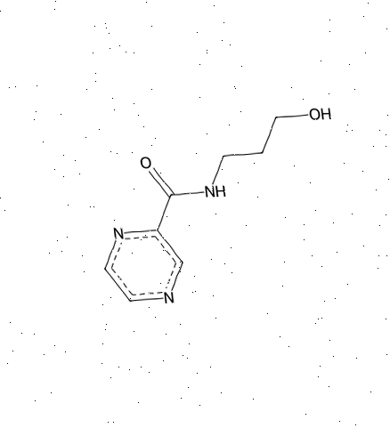 O=C(NCCCO)c1cnccn1